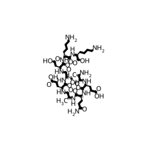 C[C@H](N)C(=O)N[C@@H](CCC(=O)O)C(=O)N[C@@H](CCC(N)=O)C(=O)N[C@@H](C)C(=O)N[C@@H](CCC(=O)O)C(=O)N[C@@H](CO)C(=O)N[C@@H](CC(=O)O)C(=O)N[C@@H](CCCCN)C(=O)N[C@@H](CCCCN)C(=O)O